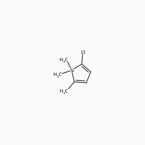 CC1=CC=C(Cl)[Si]1(C)C